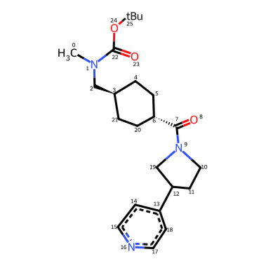 CN(C[C@H]1CC[C@H](C(=O)N2CCC(c3ccncc3)C2)CC1)C(=O)OC(C)(C)C